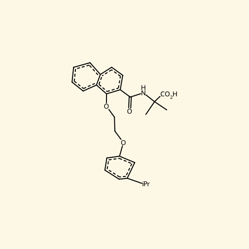 CC(C)c1cccc(OCCOc2c(C(=O)NC(C)(C)C(=O)O)ccc3ccccc23)c1